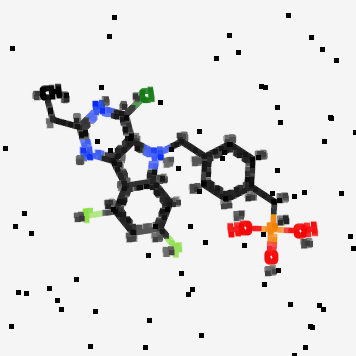 CCc1nc(Cl)c2c(n1)c1c(F)cc(F)cc1n2Cc1ccc(CP(=O)(O)O)cc1